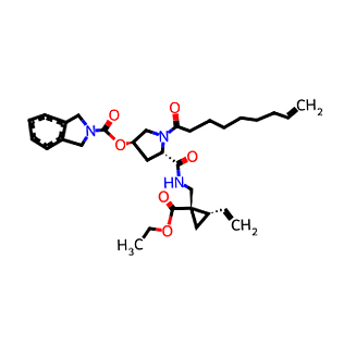 C=CCCCCCCC(=O)N1C[C@H](OC(=O)N2Cc3ccccc3C2)C[C@H]1C(=O)NC[C@]1(C(=O)OCC)C[C@H]1C=C